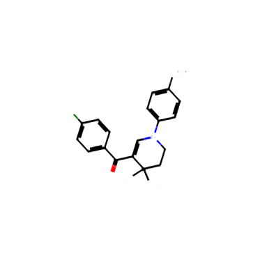 COc1ccc(N2C=C(C(=O)c3ccc(F)cc3)C(C)(C)CC2)cc1